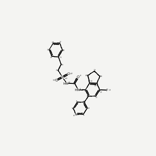 O=C(Nc1c(-c2ccncc2)cc(F)c2c1CCC2)NS(=O)(=O)CCc1ccccc1